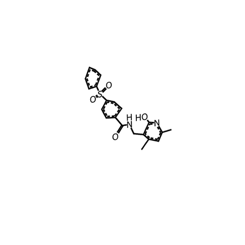 Cc1cc(C)c(CNC(=O)c2ccc(S(=O)(=O)c3ccccc3)cc2)c(O)n1